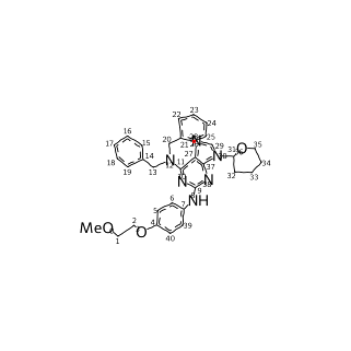 COCCOc1ccc(Nc2nc(N(Cc3ccccc3)Cc3ccccc3)c3ncn(C4CCCCO4)c3n2)cc1